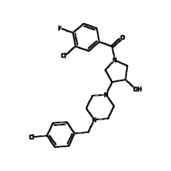 O=C(c1ccc(F)c(Cl)c1)N1CC(O)C(N2CCN(Cc3ccc(Cl)cc3)CC2)C1